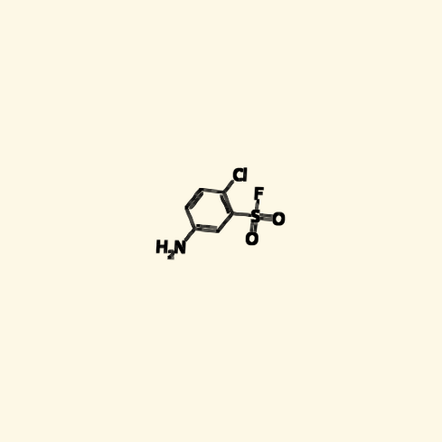 Nc1ccc(Cl)c(S(=O)(=O)F)c1